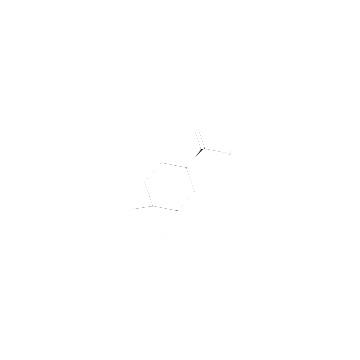 C[C@]1(O)CC[C@@H](C(N)=O)CC1